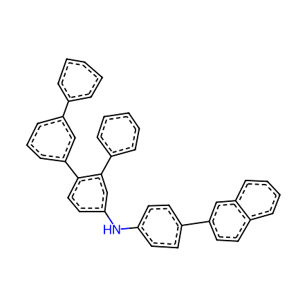 c1ccc(-c2cccc(-c3ccc(Nc4ccc(-c5ccc6ccccc6c5)cc4)cc3-c3ccccc3)c2)cc1